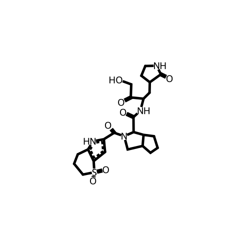 O=C1NCCC1CC(NC(=O)C1C2CCCC2CN1C(=O)c1cc2c([nH]1)CCCS2(=O)=O)C(=O)CO